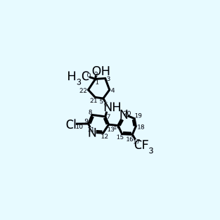 CC1(O)CCC(Nc2cc(Cl)ncc2-c2cc(C(F)(F)F)ccn2)CC1